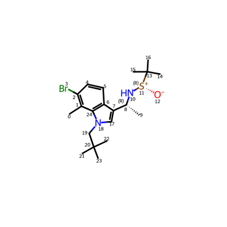 Cc1c(Br)ccc2c([C@@H](C)N[S@@+]([O-])C(C)(C)C)cn(CC(C)(C)C)c12